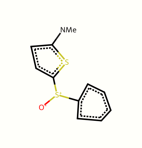 CNc1ccc([S+]([O-])c2ccccc2)s1